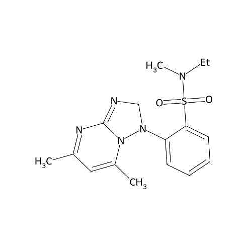 CCN(C)S(=O)(=O)c1ccccc1N1CN=C2N=C(C)C=C(C)N21